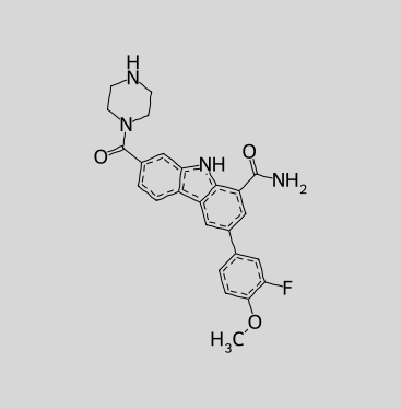 COc1ccc(-c2cc(C(N)=O)c3[nH]c4cc(C(=O)N5CCNCC5)ccc4c3c2)cc1F